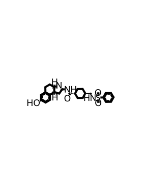 O=C(NC1=N[C@@H]2CCc3cc(O)ccc3[C@@H]2C1)[C@H]1CC[C@H](CNS(=O)(=O)c2ccccc2)CC1